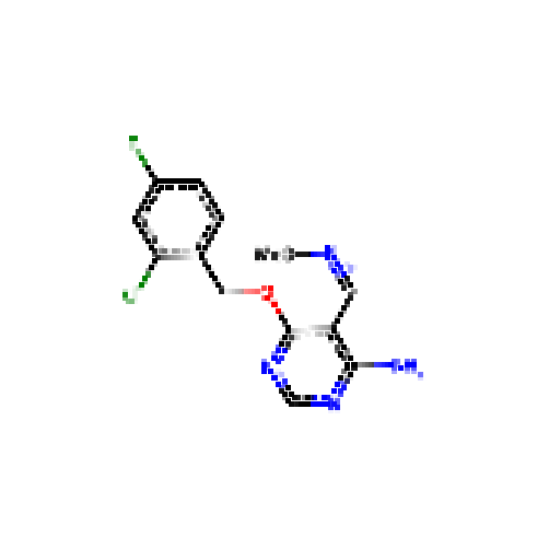 CO/N=C\c1c(N)ncnc1OCc1ccc(F)cc1Cl